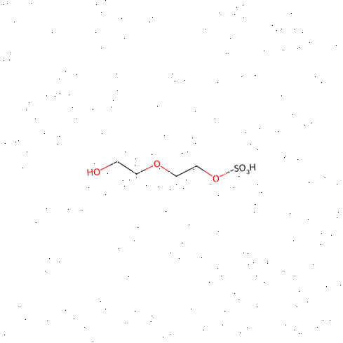 O=S(=O)(O)OCCOCCO